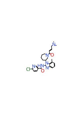 Cc1cccc2nc(NC(=O)c3ccc(Cl)nc3)n(C3CCCCN(C(=O)C=CCN(C)C)C3)c12